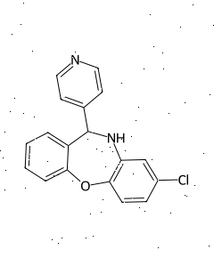 Clc1ccc2c(c1)NC(c1ccncc1)c1ccccc1O2